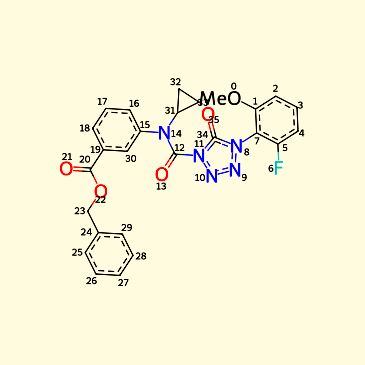 COc1cccc(F)c1-n1nnn(C(=O)N(c2cccc(C(=O)OCc3ccccc3)c2)C2CC2)c1=O